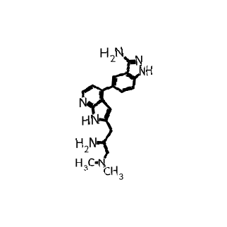 CN(C)CC(N)Cc1cc2c(-c3ccc4[nH]nc(N)c4c3)ccnc2[nH]1